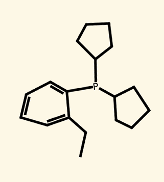 CCc1ccccc1P(C1CCCC1)C1CCCC1